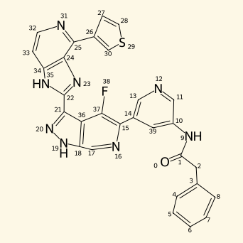 O=C(Cc1ccccc1)Nc1cncc(-c2ncc3[nH]nc(-c4nc5c(-c6ccsc6)nccc5[nH]4)c3c2F)c1